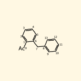 CC(=O)c1ccccc1Cc1cc[c]cc1